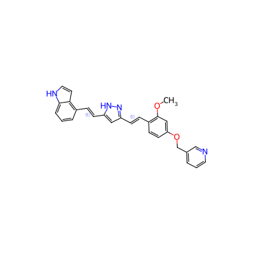 COc1cc(OCc2cccnc2)ccc1/C=C/c1cc(/C=C/c2cccc3[nH]ccc23)[nH]n1